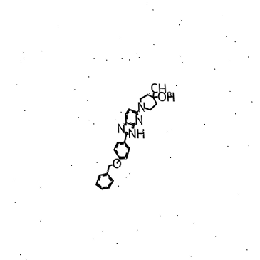 CC1(O)CCN(c2ccc3nc(-c4ccc(OCc5ccccc5)cc4)[nH]c3n2)CC1